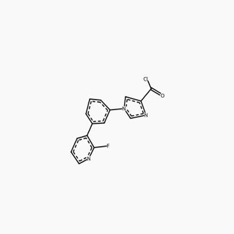 O=C(Cl)c1cn(-c2cccc(-c3cccnc3F)c2)cn1